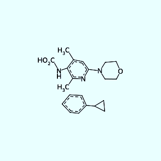 Cc1cc(N2CCOCC2)nc(C)c1NC(=O)O.c1ccc(C2CC2)cc1